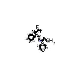 C=N/C(=N\Cn1c(C(F)F)nc2ccccc21)N1CCOCC1